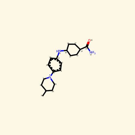 CC1CCN(c2ccc(NC3CCC(C(N)=O)CC3)cc2)CC1